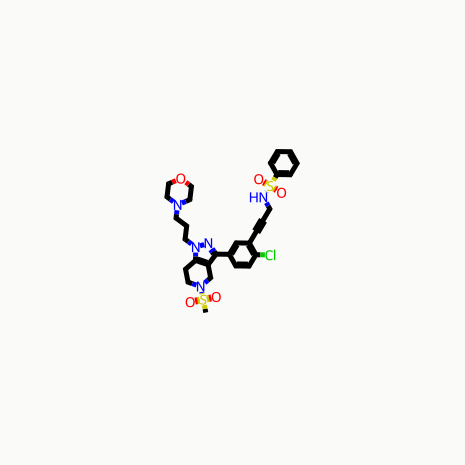 CS(=O)(=O)N1CCc2c(c(-c3ccc(Cl)c(C#CCNS(=O)(=O)c4ccccc4)c3)nn2CCCN2CCOCC2)C1